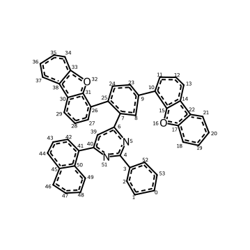 c1ccc(-c2nc(-c3cc(-c4cccc5c4oc4ccccc45)ccc3-c3cccc4c3oc3ccccc34)cc(-c3cccc4ccccc34)n2)cc1